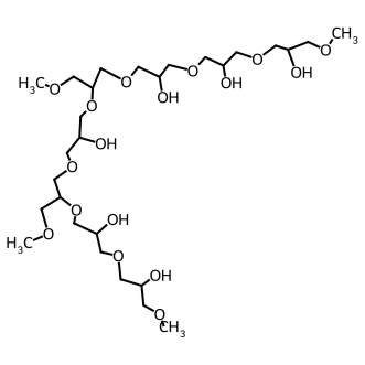 COCC(O)COCC(O)COCC(O)COCC(COC)OCC(O)COCC(COC)OCC(O)COCC(O)COC